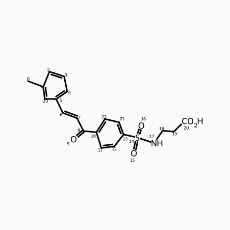 Cc1cccc(/C=C/C(=O)c2ccc(S(=O)(=O)NCCC(=O)O)cc2)c1